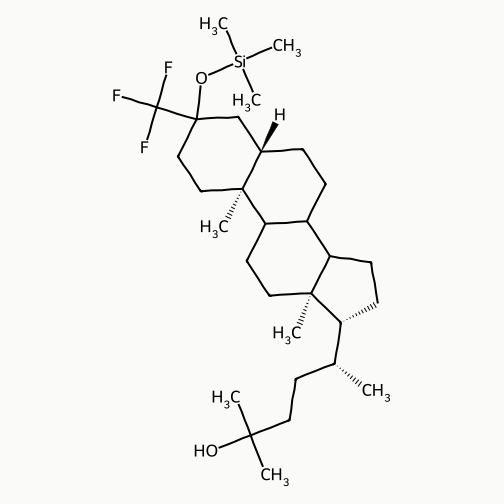 C[C@H](CCC(C)(C)O)[C@H]1CCC2C3CC[C@H]4CC(O[Si](C)(C)C)(C(F)(F)F)CC[C@]4(C)C3CC[C@@]21C